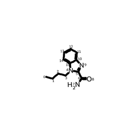 CCCCn1c(C(N)=O)nc2ccccc21